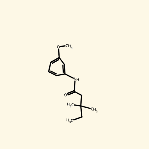 CCC(C)(C)CC(=O)Nc1cccc(OC)c1